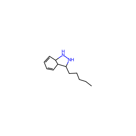 CCCCCC1NNC2C=CC=CC21